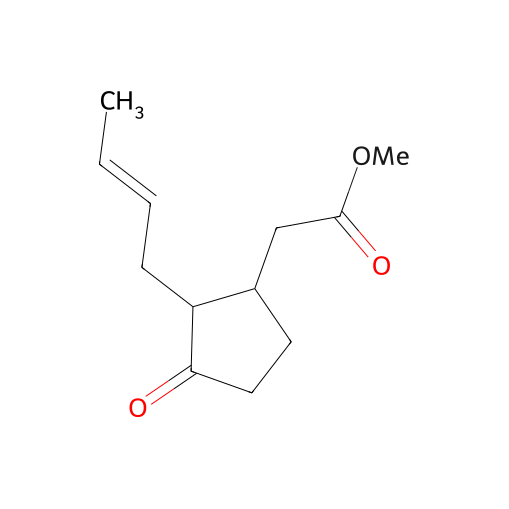 CC=CCC1C(=O)CCC1CC(=O)OC